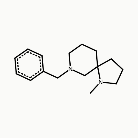 CN1CCCC12CCCN(Cc1ccccc1)C2